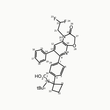 CC(C)(C)N(C(=O)O)C1(c2ccc(-c3nc4c(cc3-c3ccccc3)N(CC(F)F)C(=O)CO4)cc2)CCC1